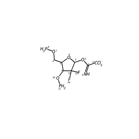 N=C(OC1OC(COP)C(OP)C1(F)F)C(Cl)(Cl)Cl